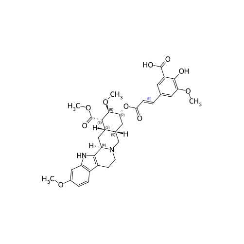 COC(=O)[C@H]1[C@H]2C[C@@H]3c4[nH]c5cc(OC)ccc5c4CCN3C[C@H]2C[C@@H](OC(=O)/C=C/c2cc(OC)c(O)c(C(=O)O)c2)[C@@H]1OC